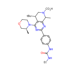 CCNC(=O)Nc1ccc(-c2nc3c(c(N4CCOC[C@@H]4C)n2)C(C(C)(C)C)CN(C(=O)O)C3C)cc1